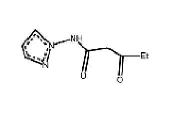 CCC(=O)CC(=O)Nn1cccn1